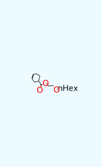 CCCCCCOCCOC(=O)C1CC=CCC1